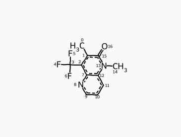 Cc1c(C(F)(F)F)c2ncccc2n(C)c1=O